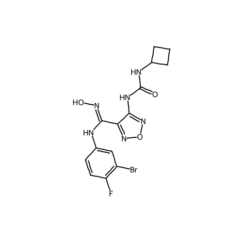 O=C(Nc1nonc1/C(=N/O)Nc1ccc(F)c(Br)c1)NC1CCC1